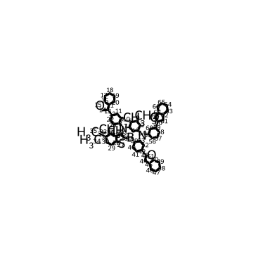 Cc1cc2c3c(c1)N(c1c(C)cc(-c4coc5ccccc45)cc1C)c1c(sc4ccc(C(C)(C)C)cc14)B3c1ccc(-c3cc4ccccc4o3)cc1N2c1cccc(-c2cc3ccccc3o2)c1